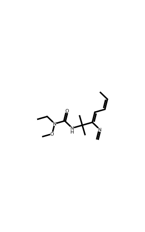 C=N/C(=C\C=C/C)C(C)(C)NC(=O)N(CC)OC